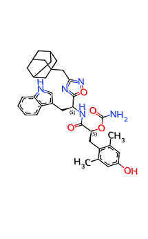 Cc1cc(O)cc(C)c1C[C@H](OC(N)=O)C(=O)N[C@@H](Cc1c[nH]c2ccccc12)c1nc(CC23CC4CC(CC(C4)C2)C3)no1